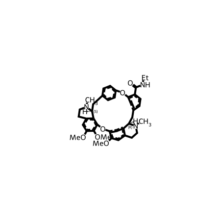 CCNC(=O)c1ccc2cc1Oc1ccc(cc1)C[C@H]1c3c(cc(OC)c(OC)c3Oc3cc4c(cc3OC)CCN(C)[C@@H]4C2)CCN1C